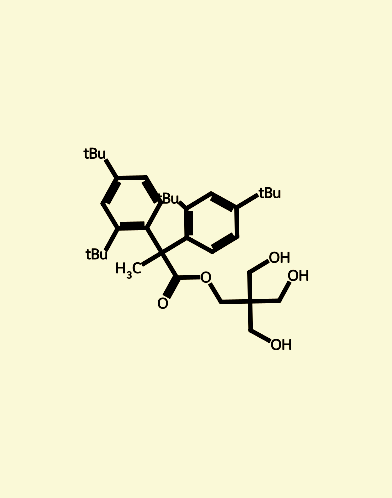 CC(C)(C)c1ccc(C(C)(C(=O)OCC(CO)(CO)CO)c2ccc(C(C)(C)C)cc2C(C)(C)C)c(C(C)(C)C)c1